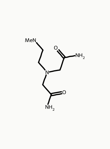 CNCCN(CC(N)=O)CC(N)=O